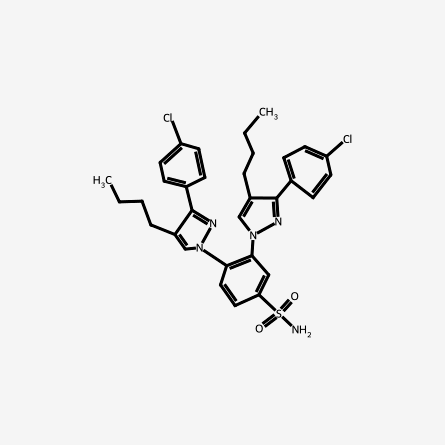 CCCCc1cn(-c2ccc(S(N)(=O)=O)cc2-n2cc(CCCC)c(-c3ccc(Cl)cc3)n2)nc1-c1ccc(Cl)cc1